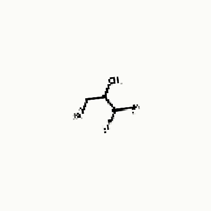 [CH2]C(C)(C)CC(C)C(C)C(C)C